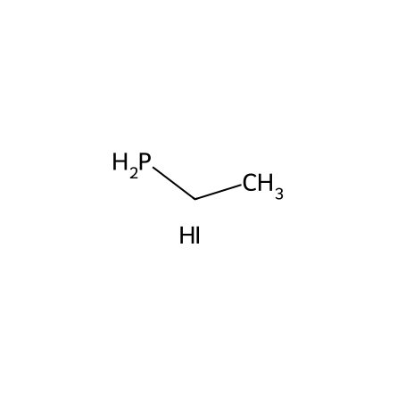 CCP.I